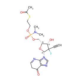 C#CC1(F)[C@@H](O)[C@@H](COP(=O)(OCCSC(C)=O)N(C)C)O[C@H]1n1cnc2c1N=CCC2=O